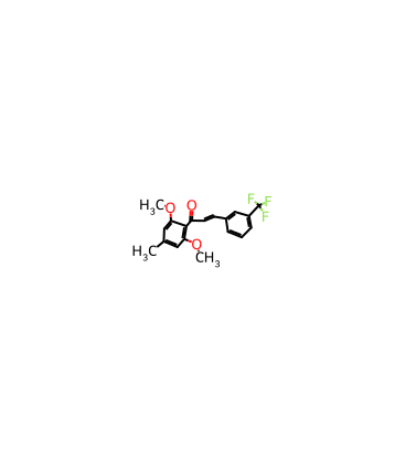 COc1cc(C)cc(OC)c1C(=O)/C=C/c1cccc(C(F)(F)F)c1